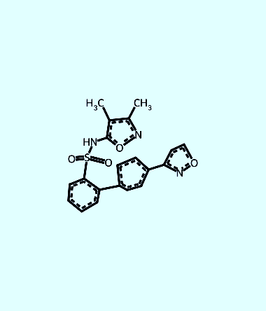 Cc1noc(NS(=O)(=O)c2ccccc2-c2ccc(-c3ccon3)cc2)c1C